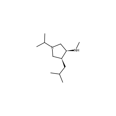 CN[C@@H]1CN(C(C)C)C[C@@H]1CC(C)C